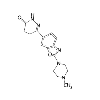 CN1CCN(c2nc3ccc(C4=NNC(=O)CC4)cc3o2)CC1